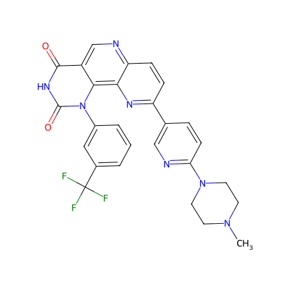 CN1CCN(c2ccc(-c3ccc4ncc5c(=O)[nH]c(=O)n(-c6cccc(C(F)(F)F)c6)c5c4n3)cn2)CC1